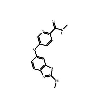 CNC(=O)c1ccc(Oc2ccc3nc(NC)sc3c2)cn1